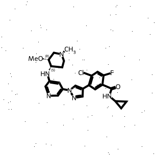 CO[C@@H]1CN(C)CC[C@@H]1Nc1cncc(-n2cc(-c3cc(C(=O)NC4CC4)c(F)cc3Cl)cn2)c1